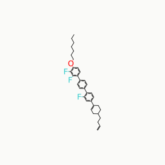 C=CCCC1CC=C(c2ccc(-c3ccc(-c4ccc(OCCCCCCC)c(F)c4F)cc3)c(F)c2)CC1